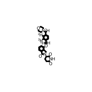 [2H]c1c(C([2H])N2CCOCC2)ccc(C([2H])([2H])Oc2cccc3c2CN(C2CCC(=O)NC2=O)C3=O)c1[2H]